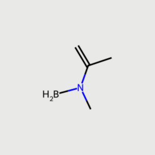 BN(C)C(=C)C